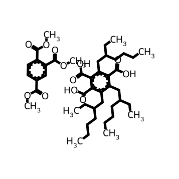 CCCCC(CC)Cc1c(CC(CC)CCCC)c(C(=O)O)c(C(=O)O)c(CC(CC)CCCC)c1C(=O)O.COC(=O)c1ccc(C(=O)OC)c(C(=O)OC)c1